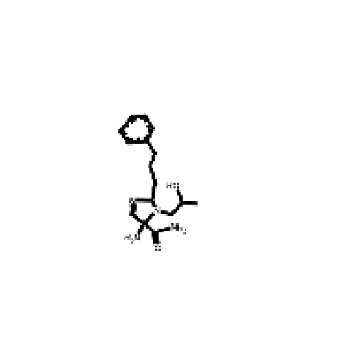 CC(O)CN1C(CCCc2ccccc2)N=CC1(N)C(N)=O